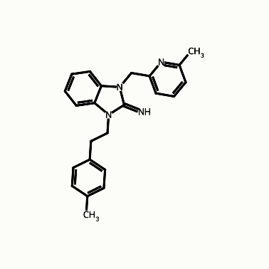 Cc1ccc(CCn2c(=N)n(Cc3cccc(C)n3)c3ccccc32)cc1